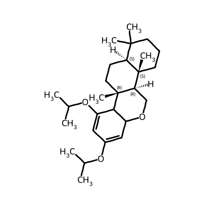 CC(C)OC1=CC2OC[C@@H]3[C@@]4(C)CCCC(C)(C)[C@@H]4CC[C@@]3(C)C2C(OC(C)C)=C1